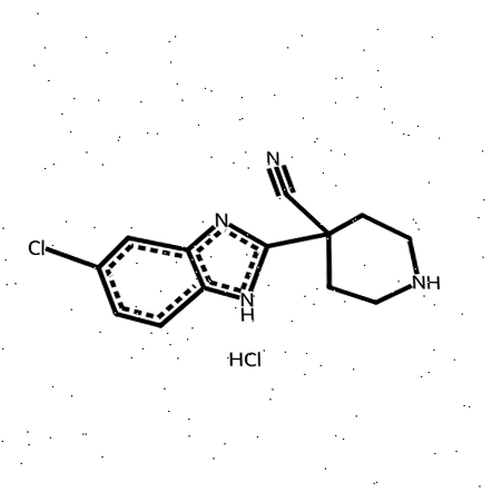 Cl.N#CC1(c2nc3cc(Cl)ccc3[nH]2)CCNCC1